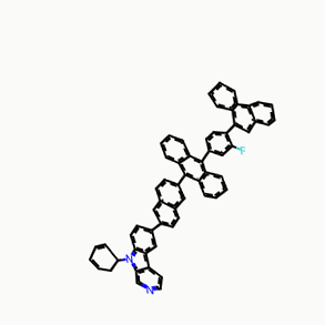 Fc1cc(-c2c3ccccc3c(-c3ccc4cc(-c5ccc6c(c5)c5ccncc5n6C5C=CC=CC5)ccc4c3)c3ccccc23)ccc1-c1cc2ccccc2c2ccccc12